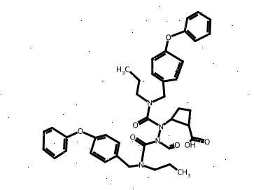 CCCN(Cc1ccc(Oc2ccccc2)cc1)C(=O)N(C=O)N(C(=O)N(CCC)Cc1ccc(Oc2ccccc2)cc1)C1CCC1C(=O)O